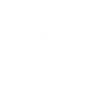 Cc1cccc(Oc2ccc(C)c(F)c2)c1